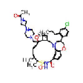 CCCc1cc(Cl)ccc1C1COc2ccc3cc2N(C1)CC1CCC1C(CN1CCN(C2CN(C(C)=O)C2)CC1)(OC)/C=C/CC(C)C(C)[S+]([O-])NC3=O